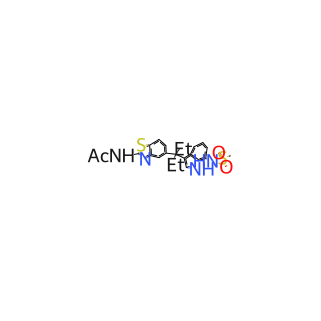 CCC(CC)(c1ccc2sc(NC(C)=O)nc2c1)c1c[nH]c2c(NS(C)(=O)=O)cccc12